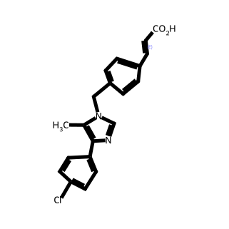 Cc1c(-c2ccc(Cl)cc2)ncn1Cc1ccc(/C=C/C(=O)O)cc1